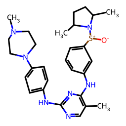 Cc1cnc(Nc2ccc(N3CCN(C)CC3)cc2)nc1Nc1cccc([S+]([O-])N2C(C)CCC2C)c1